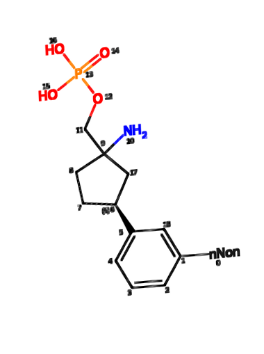 CCCCCCCCCc1cccc([C@H]2CCC(N)(COP(=O)(O)O)C2)c1